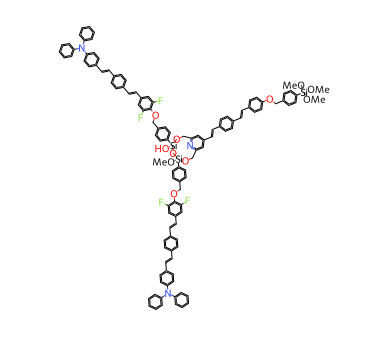 CO[Si](OC)(OC)c1ccc(COc2ccc(/C=C/c3ccc(/C=C/c4cc5nc(c4)CO[Si](OC)(c4ccc(COc6c(F)cc(/C=C/c7ccc(/C=C/c8ccc(N(c9ccccc9)c9ccccc9)cc8)cc7)cc6F)cc4)O[Si](O)(c4ccc(COc6c(F)cc(/C=C/c7ccc(/C=C/c8ccc(N(c9ccccc9)c9ccccc9)cc8)cc7)cc6F)cc4)OC5)cc3)cc2)cc1